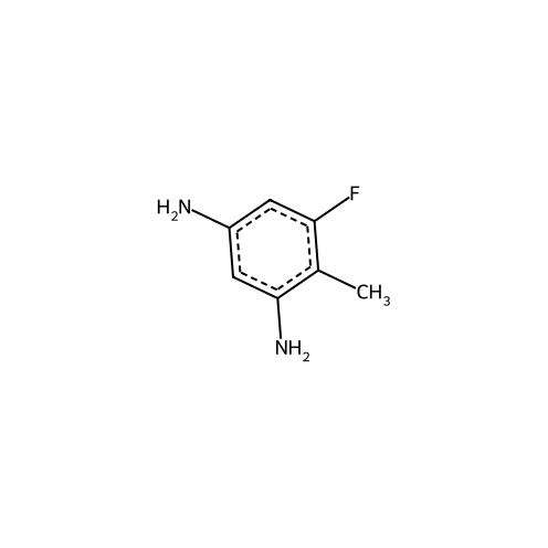 Cc1c(N)cc(N)cc1F